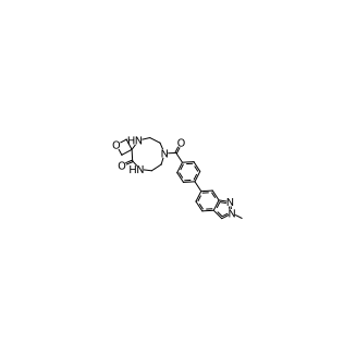 Cn1cc2ccc(-c3ccc(C(=O)N4CCNC(=O)C5(COC5)NCC4)cc3)cc2n1